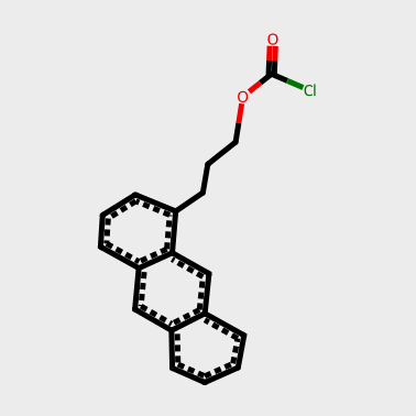 O=C(Cl)OCCCc1cccc2cc3ccccc3cc12